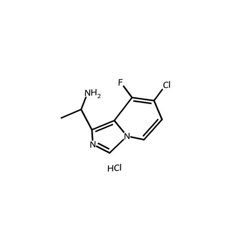 CC(N)c1ncn2ccc(Cl)c(F)c12.Cl